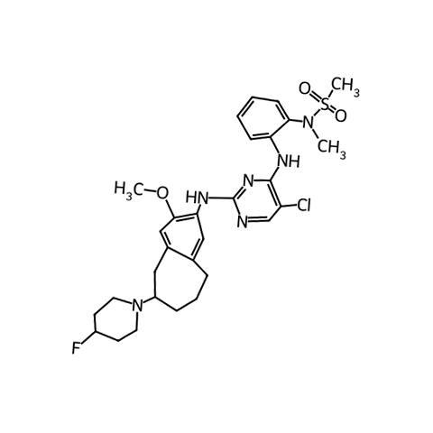 COc1cc2c(cc1Nc1ncc(Cl)c(Nc3ccccc3N(C)S(C)(=O)=O)n1)CCCC(N1CCC(F)CC1)C2